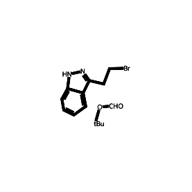 BrCCc1n[nH]c2ccccc12.CC(C)(C)OC=O